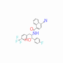 N#Cc1ccc(C(=O)NC(Cc2ccc(C(F)(F)F)cc2)C(O)c2ccc(F)cc2)c2ccccc12